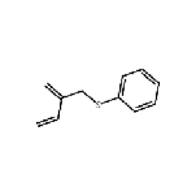 C=CC(=C)CSc1ccccc1